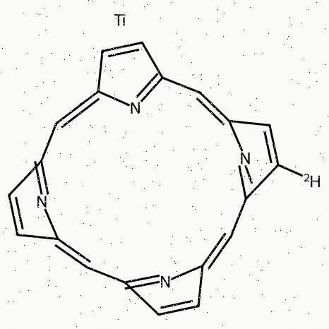 [2H]C1=CC2=CC3=NC(=CC4=NC(=CC5=NC(=CC1=N2)C=C5)C=C4)C=C3.[Ti]